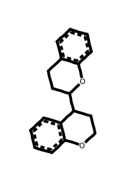 [c]1cccc2c1CCC(C1CCOc3ccccc31)O2